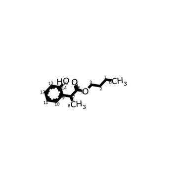 CCCCOC(=O)C(C)c1ccccc1O